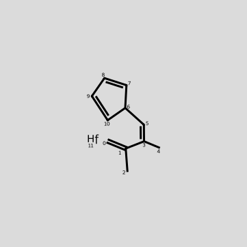 C=C(C)C(C)=CC1C=CC=C1.[Hf]